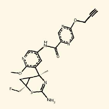 C#CCOc1cnc(C(=O)Nc2cnc(OC)c([C@@]3(C)N=C(N)S[C@@]4(CF)CC43)c2)cn1